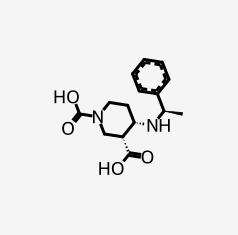 C[C@@H](N[C@H]1CCN(C(=O)O)C[C@H]1C(=O)O)c1ccccc1